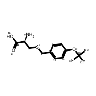 N[C@@H](CSCc1ccc(OC(F)(F)F)cc1)C(=O)O